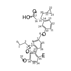 CCC[S+]([O-])c1cc(COc2cccc([C@H](CC(=O)O)CC3CC3)c2)ccc1-c1cc(OC)ccc1F